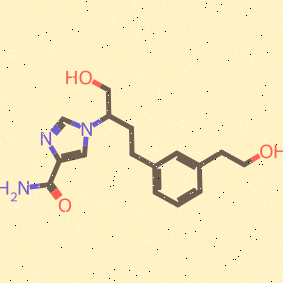 NC(=O)c1cn(C(CO)CCc2cccc(CCO)c2)cn1